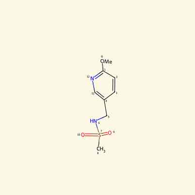 COc1ccc(CNS(C)(=O)=O)cn1